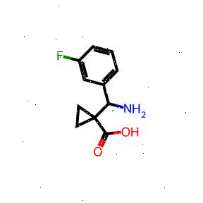 NC(c1cccc(F)c1)C1(C(=O)O)CC1